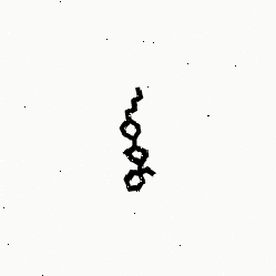 CCCCCC1CCC(c2ccc(C3(CC)C=CC=CC3)cc2)CC1